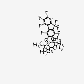 CC(C)[Si](Oc1c(F)c(F)c2c(c1F)-c1c([c]c(F)c(F)c1F)C2(F)F)(C(C)C)C(C)C